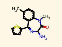 Cc1ccc2c(c1)C(c1cccs1)=NC(N)C(=O)N2C